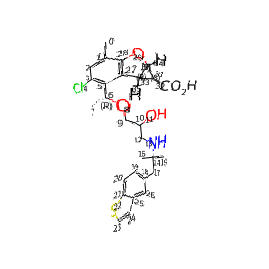 Cc1cc(Cl)c([C@@H](C)OCC(O)CNC(C)(C)Cc2ccc3sccc3c2)c2c1O[C@@H]1[C@@H](C(=O)O)[C@H]21